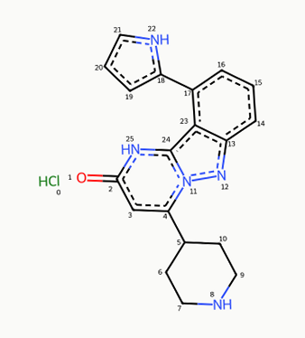 Cl.O=c1cc(C2CCNCC2)n2nc3cccc(-c4ccc[nH]4)c3c2[nH]1